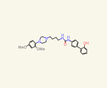 COc1ccc(N2CCN(CCCCNC(=O)Nc3ccc(-c4ccccc4O)cc3)CC2)c(OC)c1